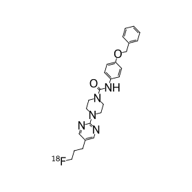 O=C(Nc1ccc(OCc2ccccc2)cc1)N1CCN(c2ncc(CCC[18F])cn2)CC1